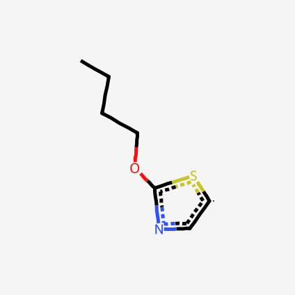 CCCCOc1nc[c]s1